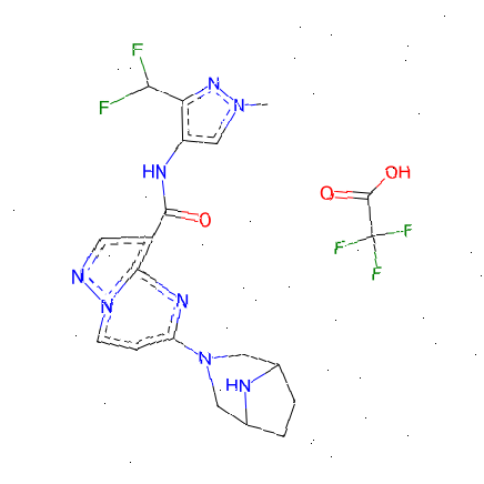 Cn1cc(NC(=O)c2cnn3ccc(N4CC5CCC(C4)N5)nc23)c(C(F)F)n1.O=C(O)C(F)(F)F